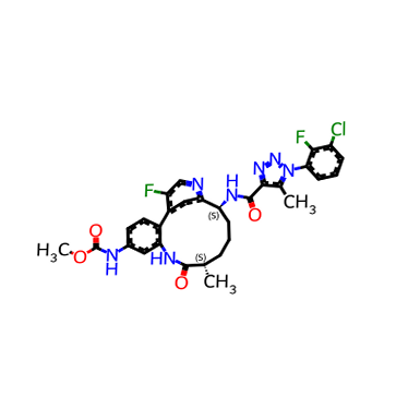 COC(=O)Nc1ccc2c(c1)NC(=O)[C@@H](C)CCC[C@H](NC(=O)c1nnn(-c3cccc(Cl)c3F)c1C)c1cc-2c(F)cn1